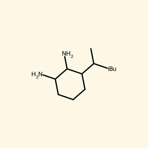 CCC(C)C(C)C1CCCC(N)C1N